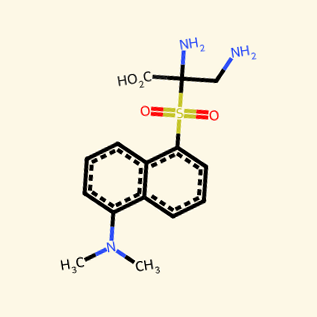 CN(C)c1cccc2c(S(=O)(=O)C(N)(CN)C(=O)O)cccc12